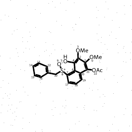 COc1c(OC)c(O)c2c([S+]([O-])Cc3ccccc3)cccc2c1OC(C)=O